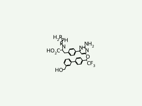 Nc1nc(O[C@H](c2ccc(-c3cccc(CO)c3)cc2)C(F)(F)F)cc(-c2ccc(C[C@H](/N=P/PP)C(=O)O)cc2)n1